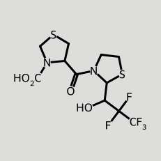 O=C(O)N1CSCC1C(=O)N1CCSC1C(O)C(F)(F)C(F)(F)F